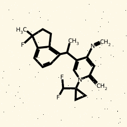 C=NC1=CC(=C)N(C2(C(F)F)CC2)C=C1C(C)c1cccc2c1CCC2(C)F